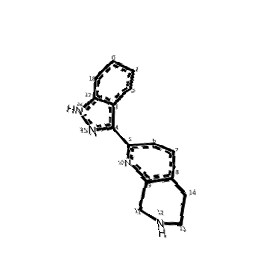 c1ccc2c(-c3ccc4c(n3)CNCC4)n[nH]c2c1